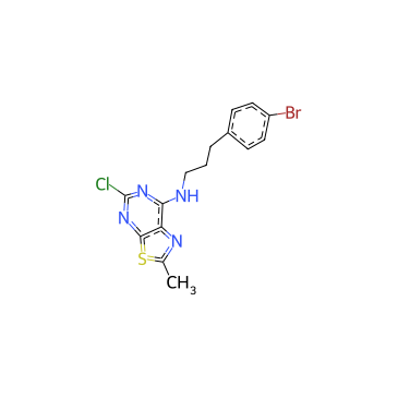 Cc1nc2c(NCCCc3ccc(Br)cc3)nc(Cl)nc2s1